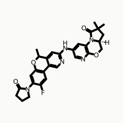 CC1Oc2cc(N3CCCC3=O)c(F)cc2-c2cnc(Nc3cnc4c(c3)N3C(=O)C(C)(C)C[C@H]3CO4)cc21